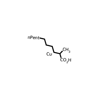 CCCCCCCCCC(C)C(=O)O.[Cu]